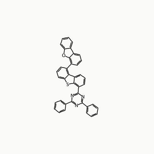 c1ccc(-c2nc(-c3ccccc3)nc(-c3cccc4c3sc3cccc(-c5cccc6c5oc5ccccc56)c34)n2)cc1